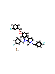 Cc1c2c(cc[n+]1Cc1ccc(F)cc1)c1ccc(OCc3cccc(F)c3)cc1n2Cc1cccc(F)c1.[Br-]